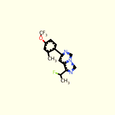 Cc1cc(OC(F)(F)F)ccc1-c1cc2c(C(C)F)ncn2cn1